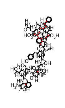 CC(C)C[C@H](NC(=O)[C@H](Cc1ccc(O)cc1)NC(=O)[C@H](CO)NC(=O)[C@H](CO)NC(=O)[C@@H](NC(=O)[C@H](CC(=O)O)NC(=O)[C@H](CO)NC(=O)[C@@H](NC(=O)[C@H](Cc1ccccc1)NC(=O)[C@@H](N)[C@@H](C)O)[C@@H](C)O)C(C)C)C(=O)N[C@@H](CCC(=O)O)C(=O)NCC(=O)N[C@@H](CCC(N)=O)C(=O)N[C@@H](C)C(=O)N[C@@H](C)C(=O)N[C@@H](C)C(=O)N(C(=O)OCc1ccccc1)[C@@H](CCC(=O)O)C(=O)c1ccccc1